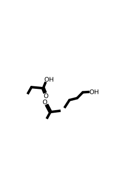 CC(C)=O.CCC(=O)O.CCCCO